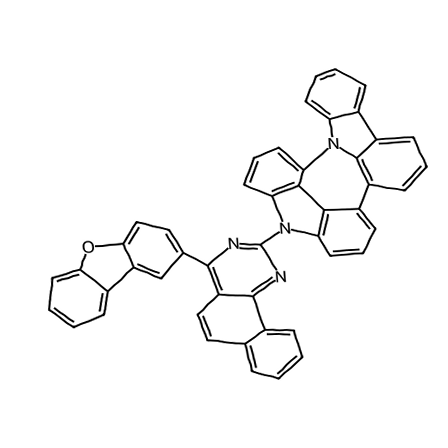 c1ccc2c(c1)ccc1c(-c3ccc4oc5ccccc5c4c3)nc(-n3c4cccc5c6cccc7c8ccccc8n(c8cccc3c8c54)c67)nc12